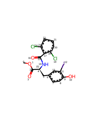 COC(=O)[C@H](Cc1ccc(O)c(I)c1)NC(=O)c1c(Cl)cccc1Cl